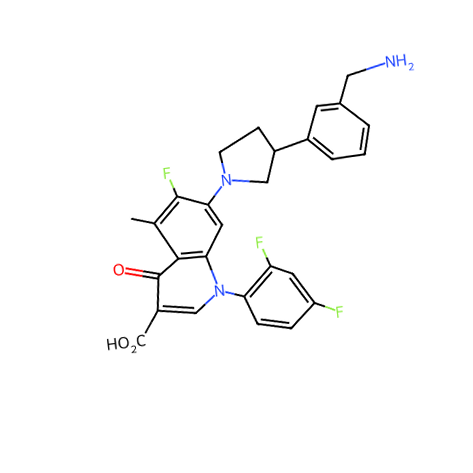 Cc1c(F)c(N2CCC(c3cccc(CN)c3)C2)cc2c1c(=O)c(C(=O)O)cn2-c1ccc(F)cc1F